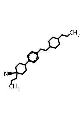 CCCC1CCC(CCc2ccc(C3CCC(C#N)(CCC)CC3)cc2)CC1